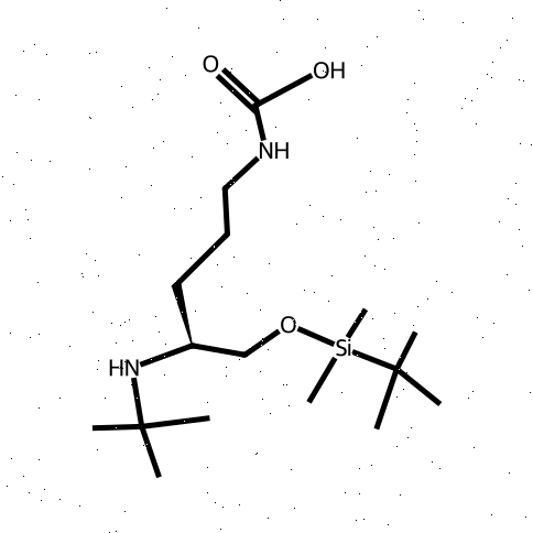 CC(C)(C)N[C@@H](CCCNC(=O)O)CO[Si](C)(C)C(C)(C)C